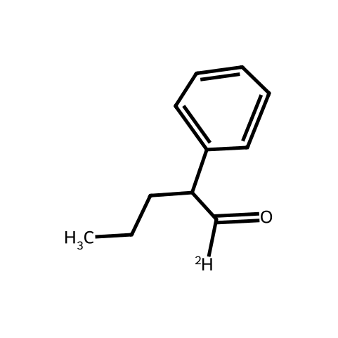 [2H]C(=O)C(CCC)c1ccccc1